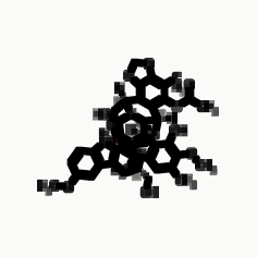 COc1ccc2[nH]c3c(c2c1)C[C@@H](CO)N[C@]31CS[C@@H]2c3c(OC(C)=O)c(C)c4c(c3[C@H](COC1=O)N1[C@@H]2[C@H]2c3c(cc(C)c(OC)c3O)C3(C)CC1(O)CN23)OCO4